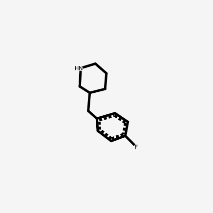 Fc1ccc(CC2CCCNC2)cc1